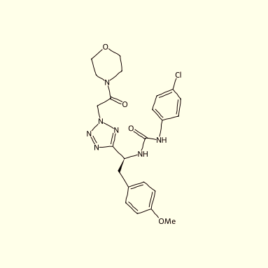 COc1ccc(C[C@H](NC(=O)Nc2ccc(Cl)cc2)c2nnn(CC(=O)N3CCOCC3)n2)cc1